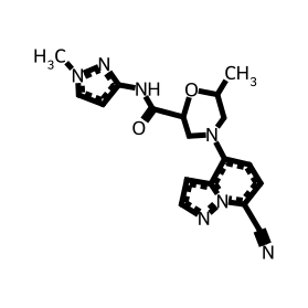 CC1CN(c2ccc(C#N)n3nccc23)CC(C(=O)Nc2ccn(C)n2)O1